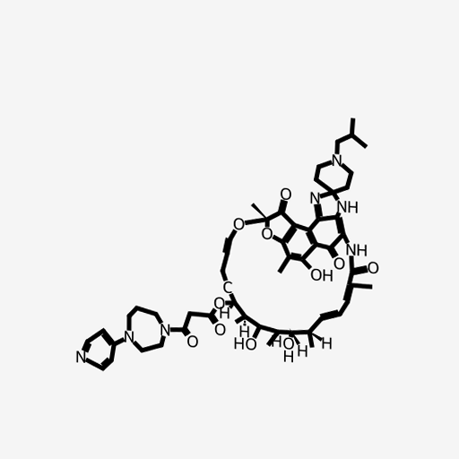 C/C1=C/C=C/[C@H](C)[C@H](O)[C@@H](C)C(O)[C@@H](C)[C@H](OC(=O)CC(=O)N2CCCN(c3ccncc3)CC2)CC/C=C/O[C@@]2(C)Oc3c(C)c(O)c4c(c3C2=O)C2=NC3(CCN(CC(C)C)CC3)NC2=C(NC1=O)C4=O